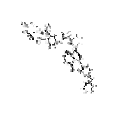 Nc1ncnc2c1c(-c1ccc(Oc3ccccc3)cc1)nn2C1CCCN(C2CCN2Cc2ccc3c(c2)C(=O)N(C2CCC(=O)NC2=O)C3=O)C1